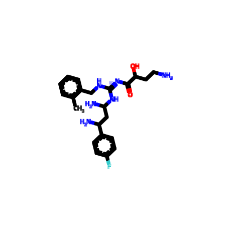 Cc1ccccc1CN/C(=N/C(=O)C(O)CCN)NC(N)CC(N)c1ccc(F)cc1